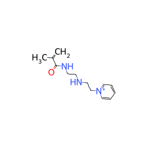 C=C(C)C(=O)NCCNCC[n+]1ccccc1